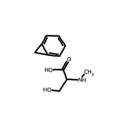 CNC(CO)C(=O)O.c1ccc2c(c1)C2